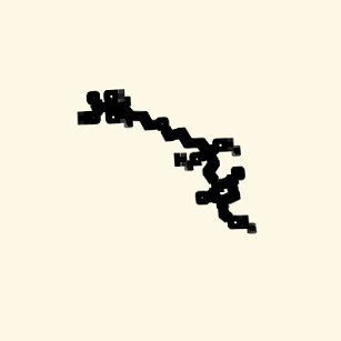 CCN1CC(=O)N(CCC(C)(C)CCCCOCCCCC(C)(C)C(=O)O)C1=O